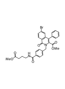 COC(=O)CCCNC(=O)c1ccc(Cn2c(C(=O)OC)c(-c3ccccc3)c3cc(Br)ccc3c2=O)cc1